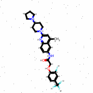 Cc1cc(N2CCC(N3CCCC3)CC2)nc2ccc(NC(=O)COc3ccc(C(F)(F)F)cc3F)cc12